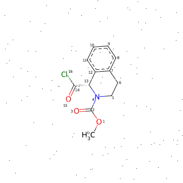 COC(=O)N1CCc2ccccc2[C@H]1C(=O)Cl